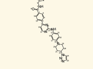 N#CCNC(=O)c1ccc(-c2ccnc(Nc3ccc(N4CCC(n5ccnn5)CC4)cc3)n2)cc1